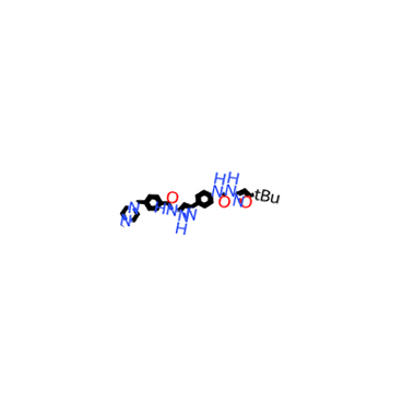 CN1CCN(Cc2ccc(C(=O)Nc3cc(-c4ccc(NC(=O)Nc5cc(C(C)(C)C)on5)cc4)n[nH]3)cc2)CC1